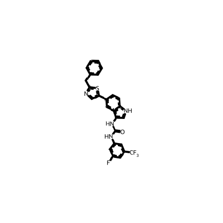 O=C(Nc1cc(F)cc(C(F)(F)F)c1)Nc1c[nH]c2ccc(-c3cnc(Cc4ccccc4)s3)cc12